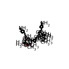 CN[C@@H](C)C(=O)N[C@H](C(=O)N1C[C@@H](NC(=O)c2cccc(C(=O)N[C@H]3C[C@@H](C(=O)NCCc4ccc(SN)cc4)N(C(=O)[C@@H](NC(=O)[C@H](C)NC)C(C)(C)C)C3)c2)C[C@H]1C(=O)NCCc1ccc(SN)cc1)C(C)(C)C